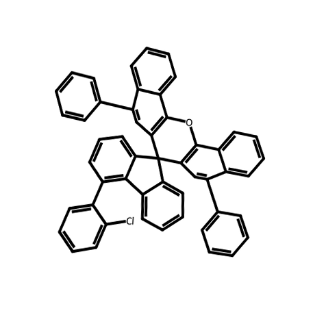 Clc1ccccc1-c1cccc2c1-c1ccccc1C21c2cc(-c3ccccc3)c3ccccc3c2Oc2c1cc(-c1ccccc1)c1ccccc21